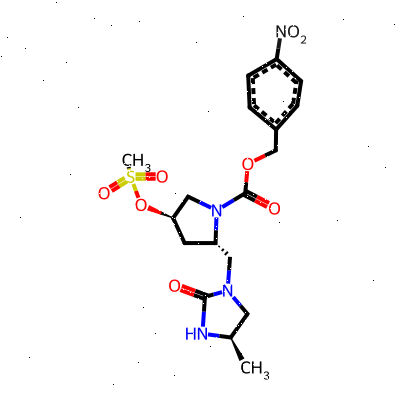 C[C@@H]1CN(C[C@@H]2C[C@@H](OS(C)(=O)=O)CN2C(=O)OCc2ccc([N+](=O)[O-])cc2)C(=O)N1